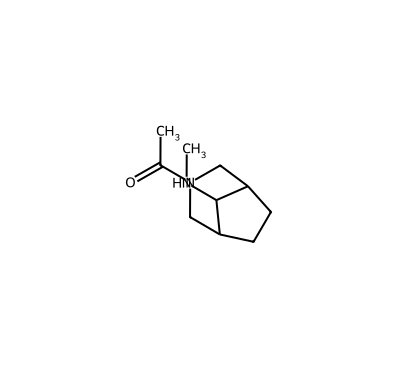 CNC1C2CCC1CN(C(C)=O)C2